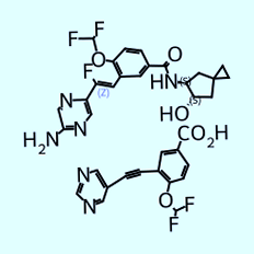 Nc1cnc(/C(F)=C/c2cc(C(=O)N[C@H]3CC4(CC4)C[C@@H]3O)ccc2OC(F)F)cn1.O=C(O)c1ccc(OC(F)F)c(C#Cc2cncnc2)c1